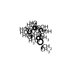 C=C(CC)[C@H]1CCC[C@H]2[C@](C)(CCC1)CCC[C@@]2(C)C(=O)O[C@@H]1O[C@H](CO)[C@@H](O)[C@H](O)[C@H]1O[C@@H]1O[C@H](CO)[C@@H](O)[C@H](O)[C@H]1O[C@@H]1O[C@H](CO)[C@@H](O)[C@H](O)[C@H]1NC(C)=O